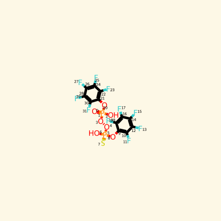 O=P(O)(OOP(O)(=S)Oc1c(F)c(F)c(F)c(F)c1F)Oc1c(F)c(F)c(F)c(F)c1F